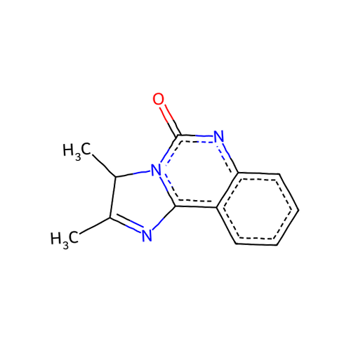 CC1=Nc2c3ccccc3nc(=O)n2C1C